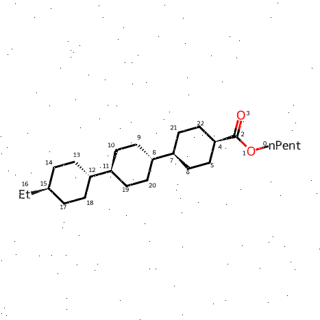 CCCCCOC(=O)[C@H]1CC[C@@H]([C@H]2CC[C@H]([C@H]3CC[C@H](CC)CC3)CC2)CC1